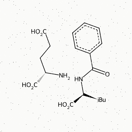 CC[C@H](C)[C@H](NC(=O)c1ccccc1)C(=O)O.N[C@@H](CCC(=O)O)C(=O)O